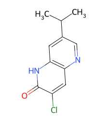 CC(C)c1cnc2cc(Cl)c(=O)[nH]c2c1